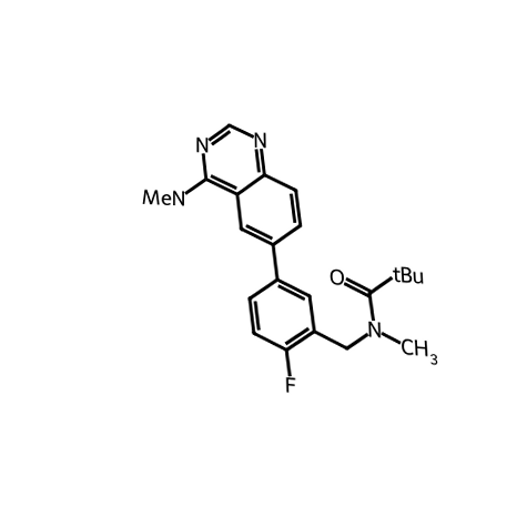 CNc1ncnc2ccc(-c3ccc(F)c(CN(C)C(=O)C(C)(C)C)c3)cc12